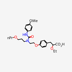 CCCOCCCN(CCOc1ccc(CC(OCC)C(=O)O)cc1)C(=O)Nc1ccc(OC)cc1